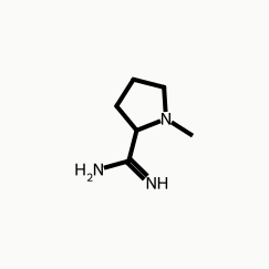 CN1CCCC1C(=N)N